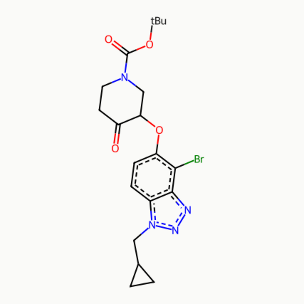 CC(C)(C)OC(=O)N1CCC(=O)C(Oc2ccc3c(nnn3CC3CC3)c2Br)C1